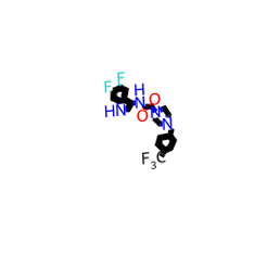 O=C(Nc1c[nH]c2cc(F)c(F)cc12)C(=O)N1CCN(Cc2ccc(C(F)(F)F)cc2)CC1